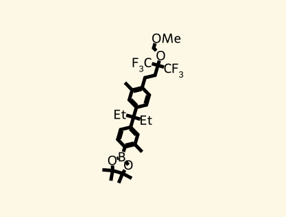 CCC(CC)(c1ccc(CCC(OCOC)(C(F)(F)F)C(F)(F)F)c(C)c1)c1ccc(B2OC(C)(C)C(C)(C)O2)c(C)c1